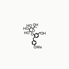 COc1ccc(Cc2ccc(CO)cc2O[C@@H]2O[C@H]([C@H](C)O)[C@@H](O)[C@H](O)[C@H]2O)cc1